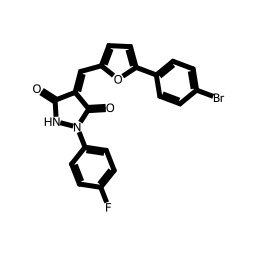 O=C1NN(c2ccc(F)cc2)C(=O)/C1=C\c1ccc(-c2ccc(Br)cc2)o1